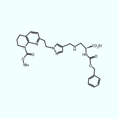 CCOC(=O)[C@H](CNCc1cnn(CCc2ccc3c(n2)N(C(=O)OC(C)(C)C)CCC3)c1)NC(=O)OCc1ccccc1